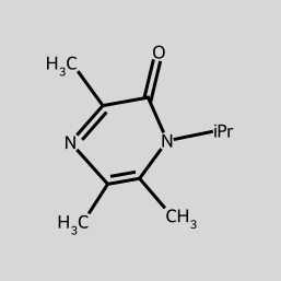 Cc1nc(C)c(=O)n(C(C)C)c1C